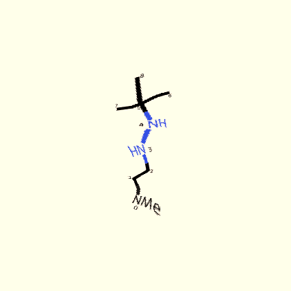 CNCCNNC(C)(C)C